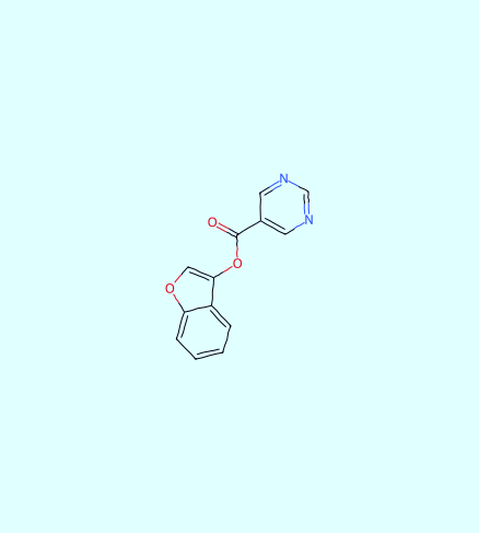 O=C(Oc1coc2ccccc12)c1cncnc1